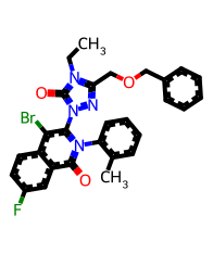 CCn1c(COCc2ccccc2)nn(-c2c(Br)c3ccc(F)cc3c(=O)n2-c2ccccc2C)c1=O